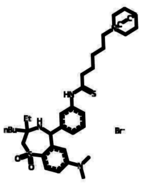 CCCCC1(CC)CS(=O)(=O)c2ccc(N(C)C)cc2C(c2cccc(NC(=S)CCCCC[N+]34CCC(CC3)CC4)c2)N1.[Br-]